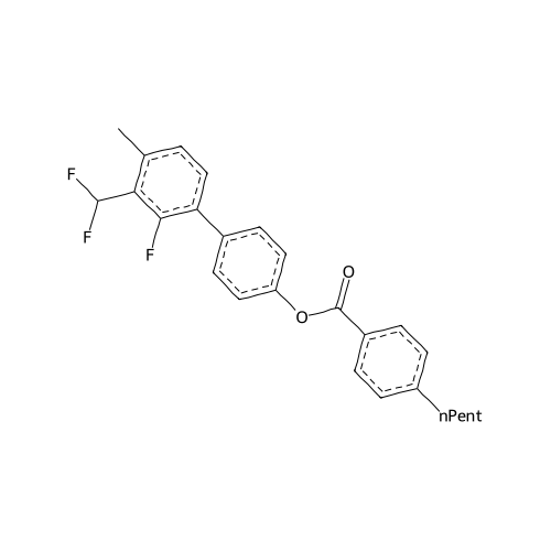 CCCCCc1ccc(C(=O)Oc2ccc(-c3ccc(C)c(C(F)F)c3F)cc2)cc1